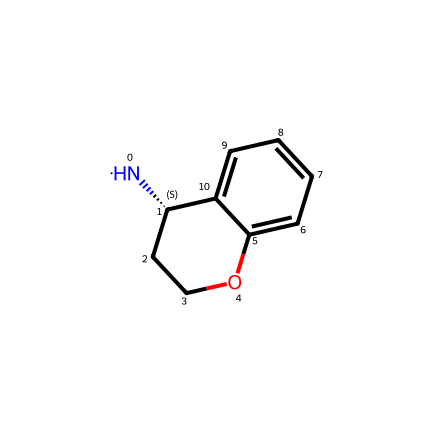 [NH][C@H]1CCOc2ccccc21